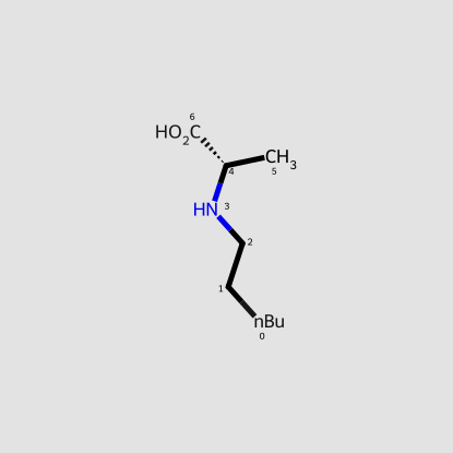 CCCCCCN[C@@H](C)C(=O)O